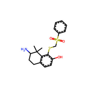 CC1(C)c2c(ccc(O)c2SCS(=O)(=O)c2ccccc2)CCC1N